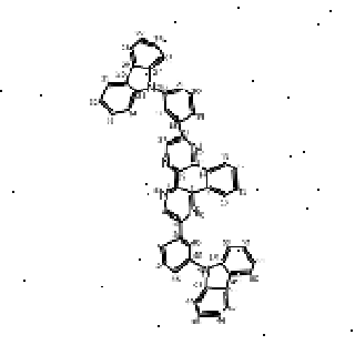 c1cc(-c2cnc3c(n2)c2ccccc2c2nc(-c4cccc(-n5c6ccccc6c6ccccc65)c4)cnc23)cc(-n2c3ccccc3c3ccccc32)c1